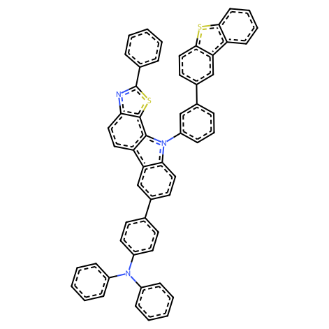 c1ccc(-c2nc3ccc4c5cc(-c6ccc(N(c7ccccc7)c7ccccc7)cc6)ccc5n(-c5cccc(-c6ccc7sc8ccccc8c7c6)c5)c4c3s2)cc1